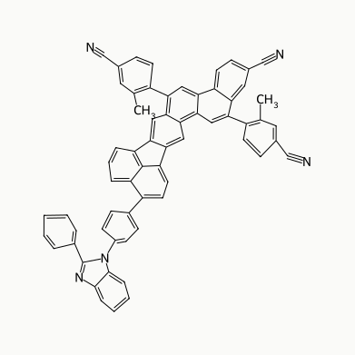 Cc1cc(C#N)ccc1-c1cc2c3cc4c(cc3c(-c3ccc(C#N)cc3C)cc2c2ccc(C#N)cc12)-c1cccc2c(-c3ccc(-n5c(-c6ccccc6)nc6ccccc65)cc3)ccc-4c12